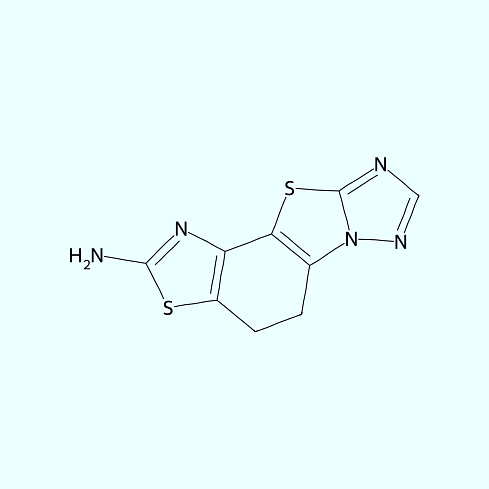 Nc1nc2c(s1)CCc1c-2sc2ncnn12